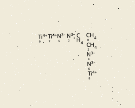 C.C.C.[N-3].[N-3].[N-3].[N-3].[Ti+4].[Ti+4].[Ti+4]